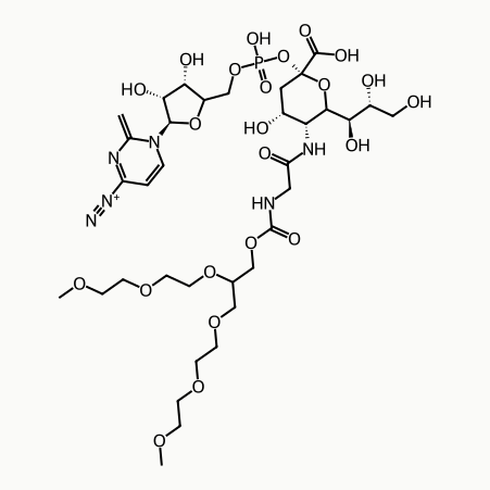 C=C1N=C([N+]#N)C=CN1[C@@H]1OC(COP(=O)(O)O[C@@]2(C(=O)O)C[C@@H](O)[C@@H](NC(=O)CNC(=O)OCC(COCCOCCOC)OCCOCCOC)C([C@H](O)[C@H](O)CO)O2)[C@@H](O)[C@H]1O